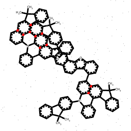 CC1(C)c2ccc(-c3ccc4ccc5c(oc6cccc(-c7ccc(N(c8ccc9c(c8)C(C)(C)c8ccccc8-9)c8ccccc8-c8cccc9c8-c8ccccc8C9(C)C)cc7)c65)c4c3)cc2-c2cc(-c3ccccc3N(c3ccccc3-c3ccc4c(c3)oc3ccccc34)c3ccccc3-c3cccc4c3-c3ccccc3C4(C)C)ccc21